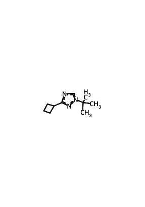 CC(C)(C)n1cnc(C2CCC2)n1